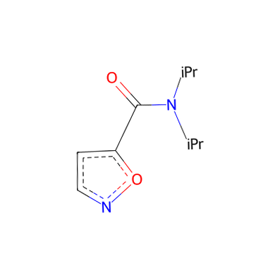 CC(C)N(C(=O)c1ccno1)C(C)C